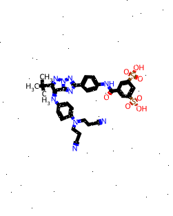 CC(C)(C)C1=Nn2nc(-c3ccc(NC(=O)c4cc(S(=O)(=O)O)cc(S(=O)(=O)O)c4)cc3)nc2/C1=N\c1ccc(N(CCC#N)CCC#N)cc1